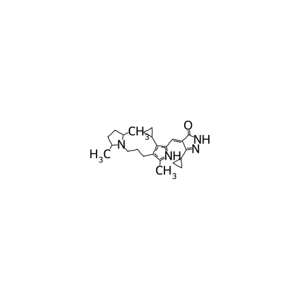 Cc1[nH]c(C=C2C(=O)NN=C2C2CC2)c(C2CC2)c1CCCN1C(C)CCC1C